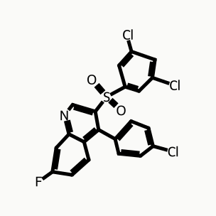 O=S(=O)(c1cc(Cl)cc(Cl)c1)c1cnc2cc(F)ccc2c1-c1ccc(Cl)cc1